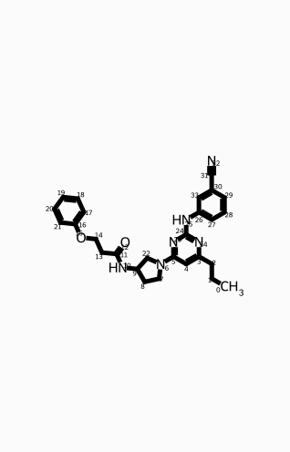 CCCc1cc(N2CCC(NC(=O)CCOc3ccccc3)C2)nc(Nc2cccc(C#N)c2)n1